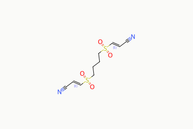 N#C/C=C/S(=O)(=O)CCCCS(=O)(=O)/C=C/C#N